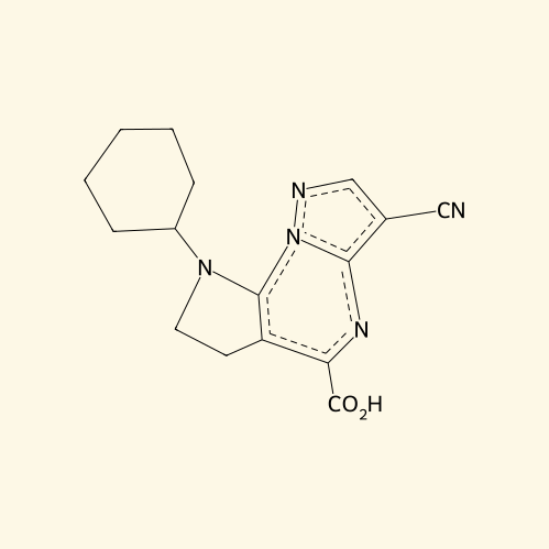 N#Cc1cnn2c3c(c(C(=O)O)nc12)CCN3C1CCCCC1